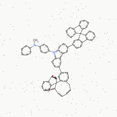 C=C1/C=C\C=C/Cc2ccc(-c3ccc4c(c3)c3cc(-c5ccc6c(c5)C5(c7ccccc7-c7ccccc75)c5ccccc5-6)ccc3n4-c3ccc(N(C)c4ccccc4)cc3)cc2C12c1ccccc1-c1ccccc12